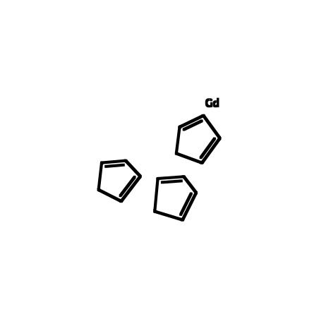 C1=CCC=C1.C1=CCC=C1.C1=CCC=C1.[Gd]